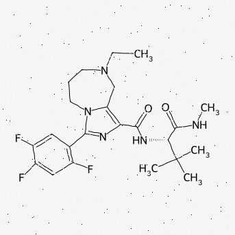 CCN1CCCn2c(-c3cc(F)c(F)cc3F)nc(C(=O)N[C@H](C(=O)NC)C(C)(C)C)c2C1